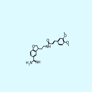 COc1ccc(C=CC(=O)NCCC2COc3ccc(C(=N)N)cc32)cc1OC